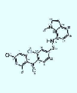 Cc1cc(Cl)ccc1C(=O)c1ccc(SNc2cccc3ccn(C)c23)cc1Cl